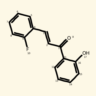 O=C(C=Cc1ccccc1F)c1ccccc1O